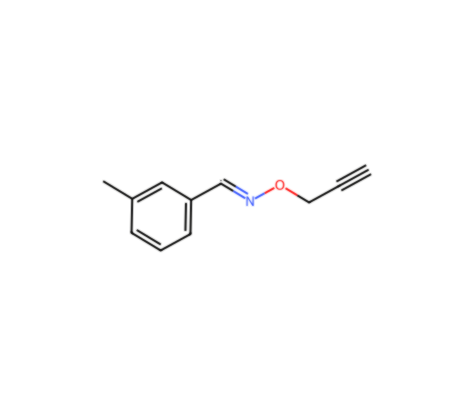 C#CCON=[C]c1cccc(C)c1